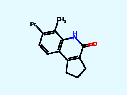 Cc1c(C(C)C)ccc2c3c(c(=O)[nH]c12)CCC3